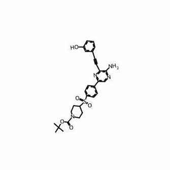 CC(C)(C)OC(=O)N1CCC(S(=O)(=O)c2ccc(-c3cnc(N)c(C#Cc4cccc(O)c4)n3)cc2)CC1